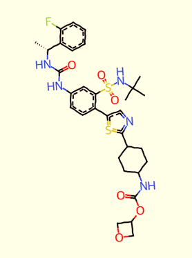 C[C@@H](NC(=O)Nc1ccc(-c2cnc(C3CCC(NC(=O)OC4COC4)CC3)s2)c(S(=O)(=O)NC(C)(C)C)c1)c1ccccc1F